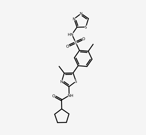 Cc1ccc(-c2sc(NC(=O)C3CCCC3)nc2C)cc1S(=O)(=O)Nc1nncs1